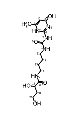 CC1=CC(O)N=C(NC(=O)NCCCCNC(=O)C(O)CCO)N1